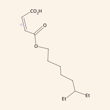 CCC(CC)CCCCCOC(=O)/C=C\C(=O)O